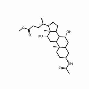 COC(=O)CC[C@@H](C)[C@H]1CCC2C3C(C[C@H](O)[C@@]21C)[C@@]1(C)CC[C@H](NC(C)=O)CC1C[C@H]3O